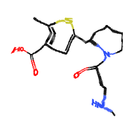 CNCC(=O)N1CCCC1c1cc(C(=O)O)c(C)s1